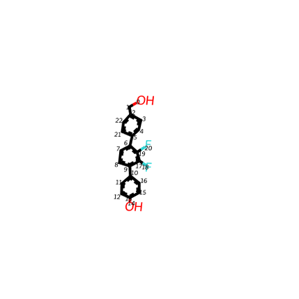 OCc1ccc(-c2ccc(-c3ccc(O)cc3)c(F)c2F)cc1